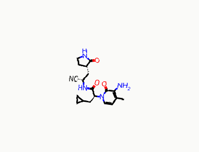 Cc1ccn([C@@H](CC2CC2)C(=O)N[C@H](C#N)C[C@@H]2CCNC2=O)c(=O)c1N